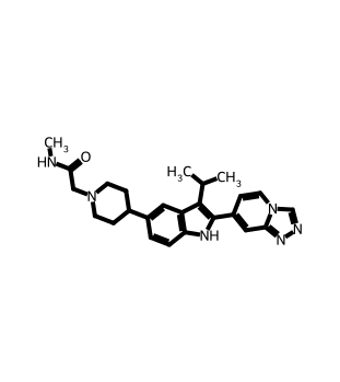 CNC(=O)CN1CCC(c2ccc3[nH]c(-c4ccn5cnnc5c4)c(C(C)C)c3c2)CC1